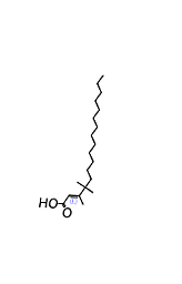 CCCCCCCCCCCCCC(C)(C)/C(C)=C/C(=O)O